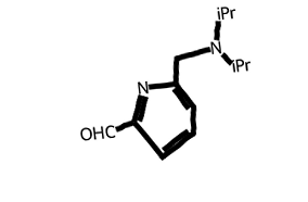 CC(C)N(Cc1cccc(C=O)n1)C(C)C